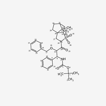 CC(C)(C)OC(=O)NC(c1ccccc1)C(OCc1ccccc1)C(=O)N1CC23CCC(CC2S1(=O)=O)C3(C)C